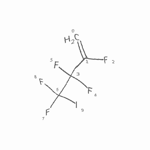 C=C(F)C(F)(F)C(F)(F)I